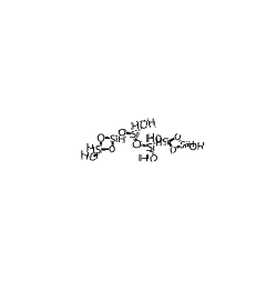 O[SiH](O[SiH](O)O[SiH]1O[SiH](O)O1)O[SiH]1O[SiH](O)O1